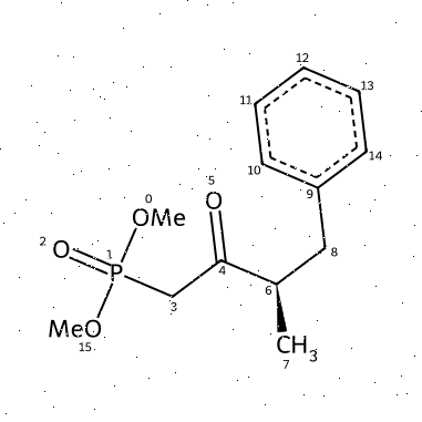 COP(=O)(CC(=O)[C@H](C)Cc1ccccc1)OC